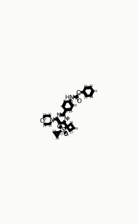 O=C(Nc1ccc(-c2nc(N3CCOCC3)cc(C3(S(=O)(=O)C4CC4)CCC3)n2)cc1)Oc1ccccc1